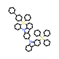 c1ccc(-c2ccc(S3(c4ccccc4)c4ccccc4-n4c5ccc(-n6c7ccccc7c7ccc(S(c8ccccc8)(c8ccccc8)c8ccccc8)cc76)cc5c5cccc3c54)cc2)cc1